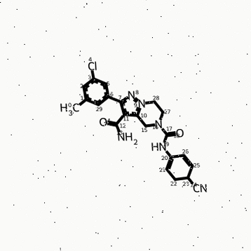 Cc1cc(Cl)cc(-c2nn3c(c2C(N)=O)CN(C(=O)NC2=CCC(C#N)C=C2)CC3)c1